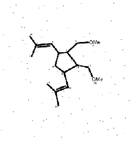 COCC1C(C=C(C)C)CC(C=C(C)C)C1COC